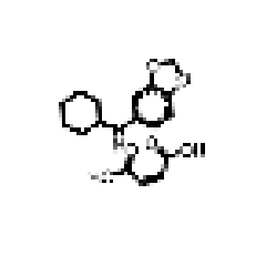 O=C(O)/C=C\C(=O)O.c1cc2c(cc1NC1CCCCC1)OCO2